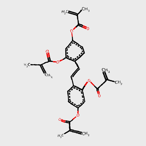 C=C(C)C(=O)Oc1ccc(/C=C/c2ccc(OC(=O)C(=C)C)cc2OC(=O)C(=C)C)c(OC(=O)C(=C)C)c1